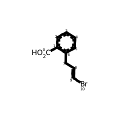 O=C(O)c1ccccc1CC=CBr